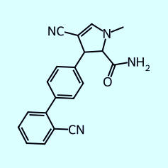 CN1C=C(C#N)C(c2ccc(-c3ccccc3C#N)cc2)C1C(N)=O